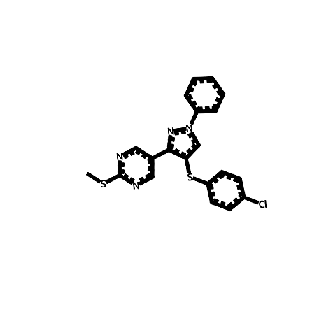 CSc1ncc(-c2nn(-c3ccccc3)cc2Sc2ccc(Cl)cc2)cn1